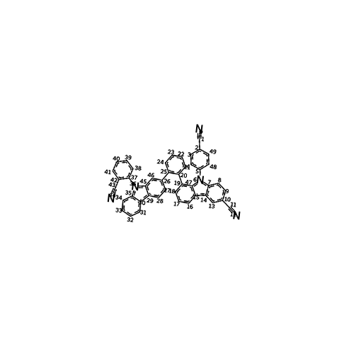 N#Cc1ccc(-n2c3ccc(C#N)cc3c3cccc(-c4ccccc4-c4ccc5c6ccccc6n(-c6ccccc6C#N)c5c4)c32)cc1